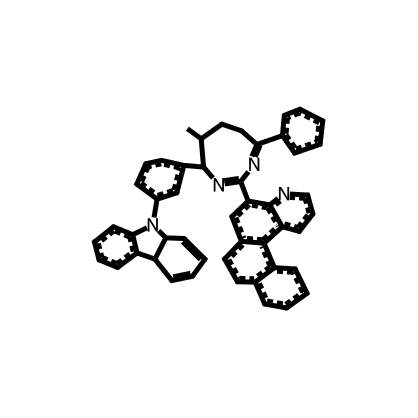 CC1CC/C(c2ccccc2)=N\C(c2cc3ccc4ccccc4c3c3cccnc23)=N/C1c1cccc(N2c3ccccc3C3C=CC=CC32)c1